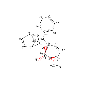 COC(=O)OC1CC2C=CC1C2=C(c1ccccc1)c1ccccc1